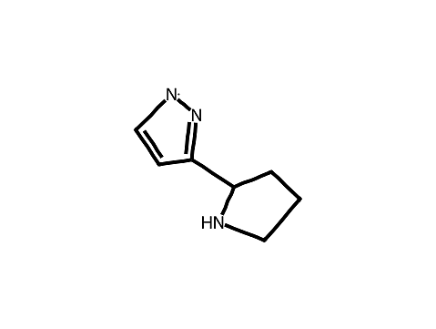 C1=CC(C2CCCN2)=N[N]1